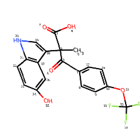 CC(C(=O)O)(C(=O)c1ccc(OC(F)(F)F)cc1)c1c[nH]c2ccc(O)cc12